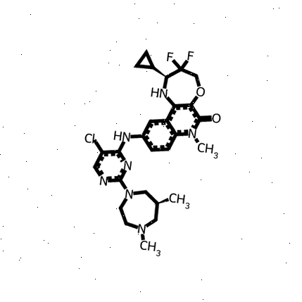 C[C@H]1CN(C)CCN(c2ncc(Cl)c(Nc3ccc4c(c3)c3c(c(=O)n4C)OCC(F)(F)[C@H](C4CC4)N3)n2)C1